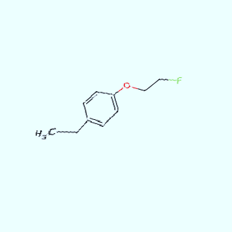 CCc1ccc(OCCF)cc1